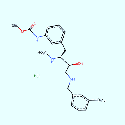 COc1cccc(CNC[C@H](O)[C@H](Cc2cccc(NC(=O)OC(C)(C)C)c2)NC(=O)O)c1.Cl